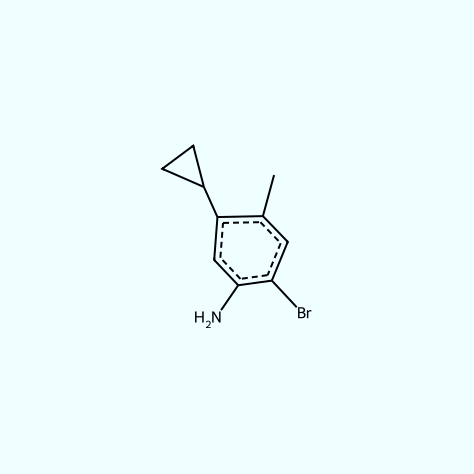 Cc1cc(Br)c(N)cc1C1CC1